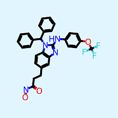 O=NC(=O)CCc1ccc2c(c1)nc(Nc1ccc(OC(F)(F)F)cc1)n2C(c1ccccc1)c1ccccc1